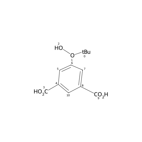 CC(C)(C)OO.O=C(O)c1cccc(C(=O)O)c1